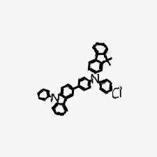 CC1(C)c2ccccc2-c2ccc(N(c3ccc(Cl)cc3)c3ccc(-c4ccc5c(c4)c4ccccc4n5-c4ccccc4)cc3)cc21